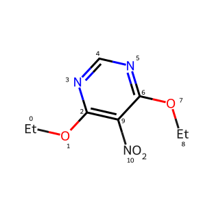 CCOc1ncnc(OCC)c1[N+](=O)[O-]